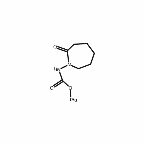 CC(C)(C)OC(=O)NN1CCCCCC1=O